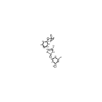 Cc1cc(Cl)cc(OC2C[C@H](c3cc(OC(F)(F)F)ccn3)N(C)C2)c1